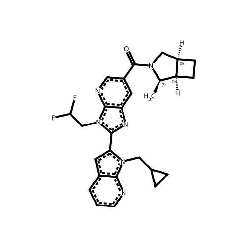 C[C@@H]1[C@@H]2CC[C@@H]2CN1C(=O)c1cnc2c(c1)nc(-c1cc3cccnc3n1CC1CC1)n2CC(F)F